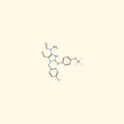 CN(C=O)C1=C(C=O)N(Cc2ccc(Cl)cn2)C(Oc2ccc(OC(F)(F)F)cc2)N1